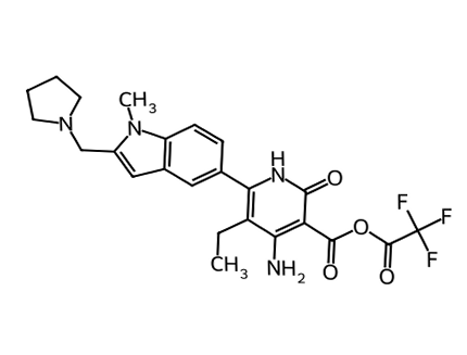 CCc1c(-c2ccc3c(c2)cc(CN2CCCC2)n3C)[nH]c(=O)c(C(=O)OC(=O)C(F)(F)F)c1N